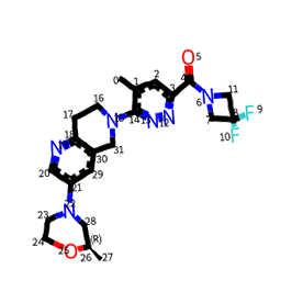 Cc1cc(C(=O)N2CC(F)(F)C2)nnc1N1CCc2ncc(N3CCO[C@H](C)C3)cc2C1